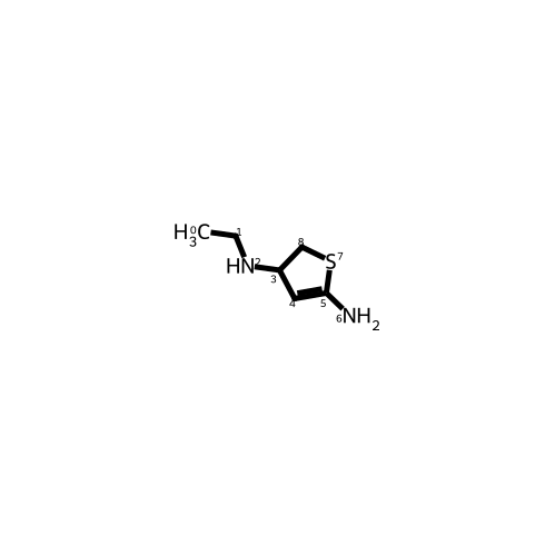 CCNC1C=C(N)SC1